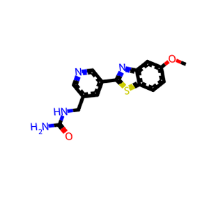 COc1ccc2sc(-c3cncc(CNC(N)=O)c3)nc2c1